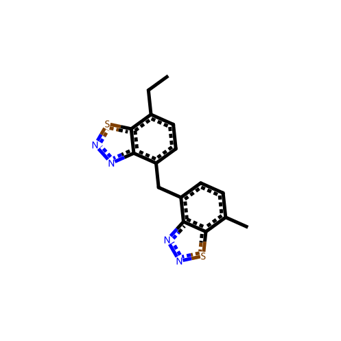 CCc1ccc(Cc2ccc(C)c3snnc23)c2nnsc12